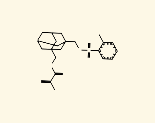 C=C(C)C(=O)OCC12CC3CC(C1)CC(COS(=O)(=O)c1ccccc1C)(C3)C2